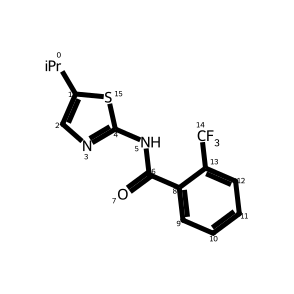 CC(C)c1cnc(NC(=O)c2ccccc2C(F)(F)F)s1